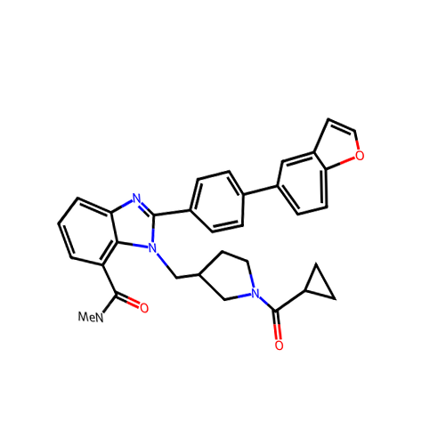 CNC(=O)c1cccc2nc(-c3ccc(-c4ccc5occc5c4)cc3)n(CC3CCN(C(=O)C4CC4)C3)c12